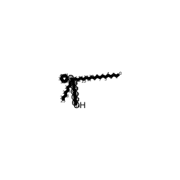 CCCCCCCCCCCCCCCCCC(CCCCCCCC)(OOOOOOOOO)Oc1ccccc1